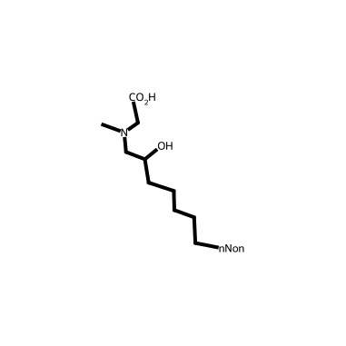 CCCCCCCCCCCCCCC(O)CN(C)CC(=O)O